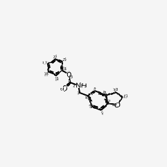 O=C(NCc1ccc2c(c1)CCO2)Oc1ccccc1